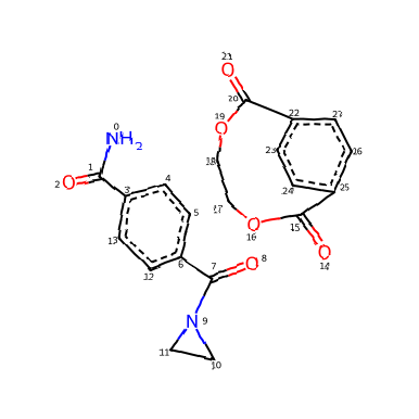 NC(=O)c1ccc(C(=O)N2CC2)cc1.O=C1OCCOC(=O)c2ccc1cc2